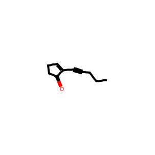 CCCC#CC1=CCCC1=O